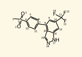 CS(=O)(=O)c1ccc(-c2cc(C(F)(F)F)cc3[nH]ncc23)cc1